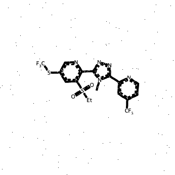 CCS(=O)(=O)c1cc(SC(F)(F)F)cnc1-c1nnc(-c2cc(C(F)(F)F)ccn2)n1C